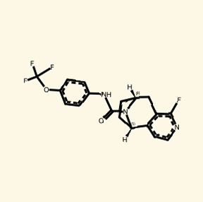 O=C(Nc1ccc(OC(F)(F)F)cc1)N1[C@@H]2CC[C@H]1c1ccnc(F)c1C2